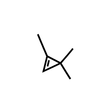 CC1=CC1(C)C